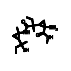 BC1(C(=O)NC)CC1C(C)(CC)C(=O)NC1(C)CC1C(C)(S)CC